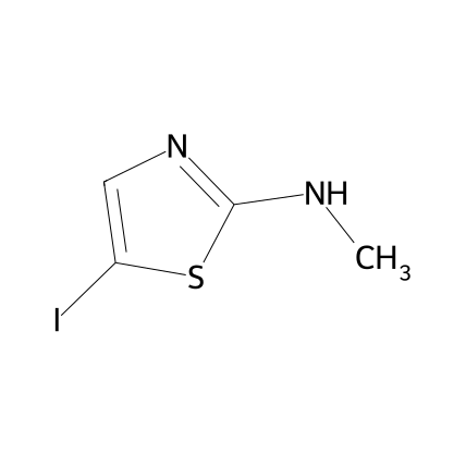 CNc1ncc(I)s1